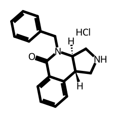 Cl.O=C1c2ccccc2[C@H]2CNC[C@@H]2N1Cc1ccccc1